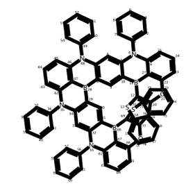 c1ccc(N2c3cc4c(cc3B3c5sc6ccccc6c5Oc5cccc2c53)B2c3cc5c(cc3N(c3ccccc3)c3cccc(c32)N4c2ccccc2)N(c2ccccc2)c2cccc3c2B5c2sc4ccccc4c2O3)cc1